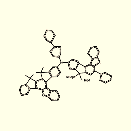 CCCCCCCC1(CCCCCCC)c2cc(N(c3ccc(-c4ccccc4)cc3)c3ccc4c(c3)C(C)(C)c3c5c(c6oc7ccccc7c6c3-4)-c3ccccc3C5(C)C)ccc2-c2c1cc(-c1ccccc1)c1oc3ccccc3c21